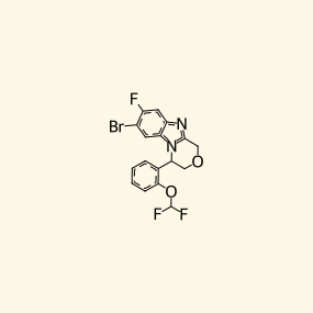 Fc1cc2nc3n(c2cc1Br)C(c1ccccc1OC(F)F)COC3